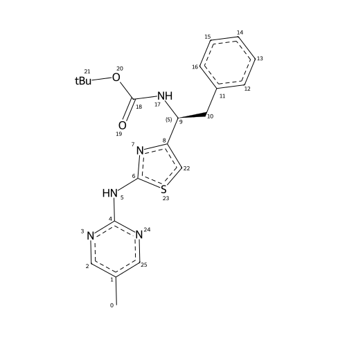 Cc1cnc(Nc2nc([C@H](Cc3ccccc3)NC(=O)OC(C)(C)C)cs2)nc1